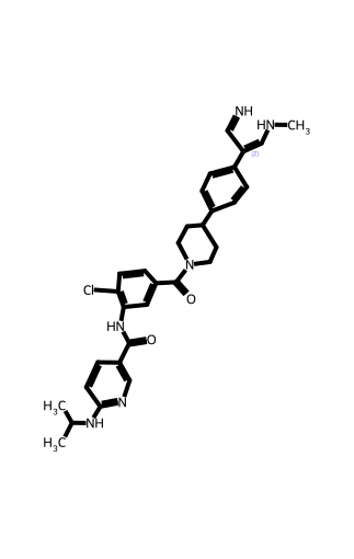 CN/C=C(\C=N)c1ccc(C2CCN(C(=O)c3ccc(Cl)c(NC(=O)c4ccc(NC(C)C)nc4)c3)CC2)cc1